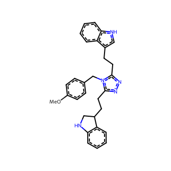 COc1ccc(Cn2c(CCc3c[nH]c4ccccc34)nnc2CCC2CNc3ccccc32)cc1